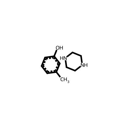 C1CNCCN1.Cc1cccc(O)c1